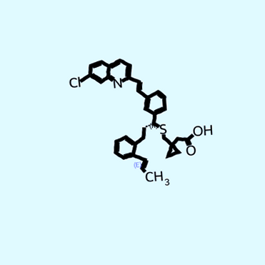 C/C=C/c1ccccc1CC[C@@H](SCC1(CC(=O)O)CC1)c1cccc(C=Cc2ccc3ccc(Cl)cc3n2)c1